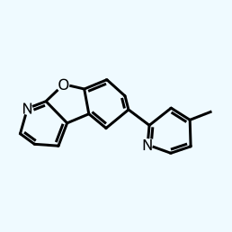 Cc1ccnc(-c2ccc3oc4ncccc4c3c2)c1